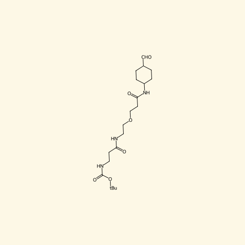 CC(C)(C)OC(=O)NCCC(=O)NCCOCCC(=O)NC1CCC(C=O)CC1